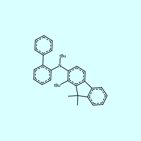 CC(C)(C)c1c(N(c2ccccc2-c2ccccc2)C(C)(C)C)ccc2c1C(C)(C)c1ccccc1-2